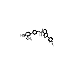 Cc1cc(-c2cc3ccnc(NCc4ccc(-c5cc[n+](O)c(C)c5)cc4)c3cn2)ccn1